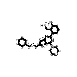 N=Cc1c(N)cccc1-c1nc(N2CCOCC2)c2sc(COCc3ccccc3)cc2n1